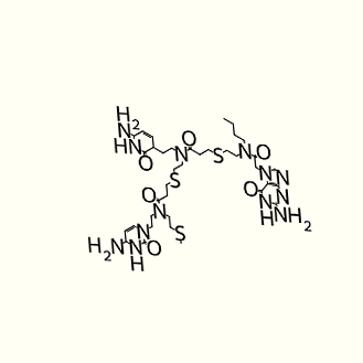 CCCCN(CCSCCC(=O)N(CCSCCC(=O)N(CCSC)CCN1C=CC(N)NC1=O)CCC1C=CC(N)NC1=O)C(=O)Cn1cnc2nc(N)[nH]c(=O)c21